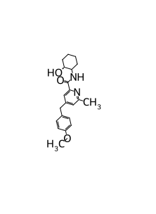 COc1ccc(Cc2cc(C)nc(C(=O)NC3CCCC[C@@H]3O)c2)cc1